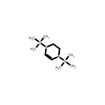 C[Si](C)(C)N1C=CN([Si](C)(C)C)CC1